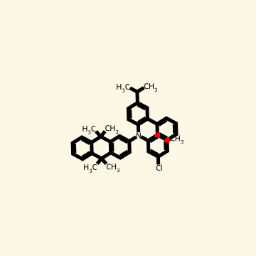 Cc1cc(Cl)cc(N(c2ccc3c(c2)C(C)(C)c2ccccc2C3(C)C)c2ccc(C(C)C)cc2-c2ccccc2)c1